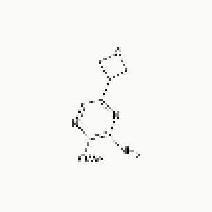 COc1ncc(C2COC2)nc1N